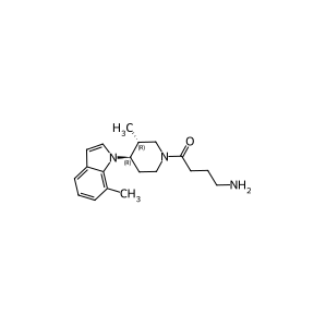 Cc1cccc2ccn([C@@H]3CCN(C(=O)CCCN)C[C@H]3C)c12